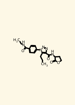 CCCc1c(C(=O)NC2CCOC2=O)nnn1-c1ccc(C(=O)NCC)cc1